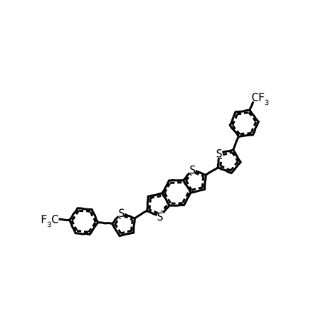 FC(F)(F)c1ccc(-c2ccc(-c3cc4cc5sc(-c6ccc(-c7ccc(C(F)(F)F)cc7)s6)cc5cc4s3)s2)cc1